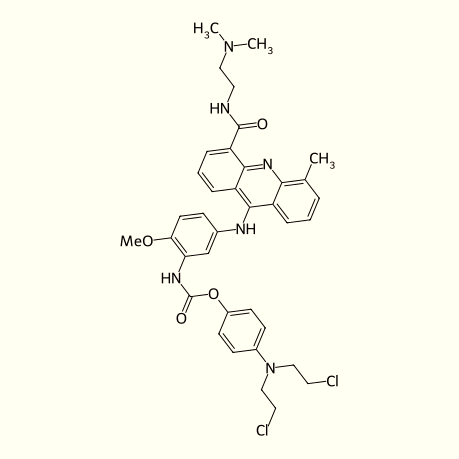 COc1ccc(Nc2c3cccc(C)c3nc3c(C(=O)NCCN(C)C)cccc23)cc1NC(=O)Oc1ccc(N(CCCl)CCCl)cc1